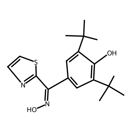 CC(C)(C)c1cc(/C(=N/O)c2nccs2)cc(C(C)(C)C)c1O